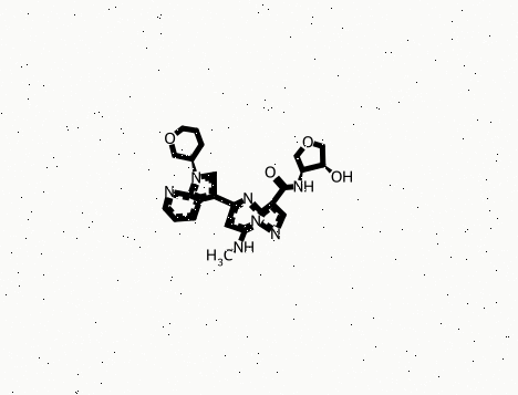 CNc1cc(-c2cn([C@@H]3CCCOC3)c3ncccc23)nc2c(C(=O)N[C@H]3COC[C@H]3O)cnn12